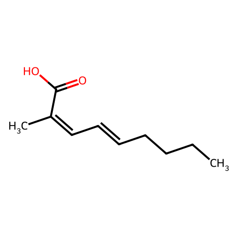 CCCC/C=C/C=C(/C)C(=O)O